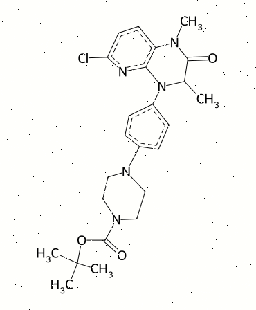 CC1C(=O)N(C)c2ccc(Cl)nc2N1c1ccc(N2CCN(C(=O)OC(C)(C)C)CC2)cc1